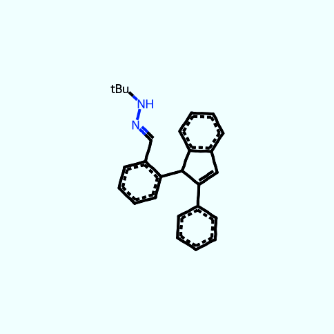 CC(C)(C)N/N=C/c1ccccc1C1C(c2ccccc2)=Cc2ccccc21